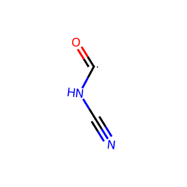 N#CN[C]=O